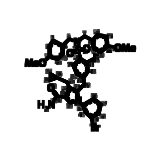 COc1ccc(CN(Cc2ccc(OC)cc2)S(=O)(=O)c2ccc(Cc3c(CC4CC4)c(C(N)=O)cn3-c3cccc(Br)c3)cc2F)cc1